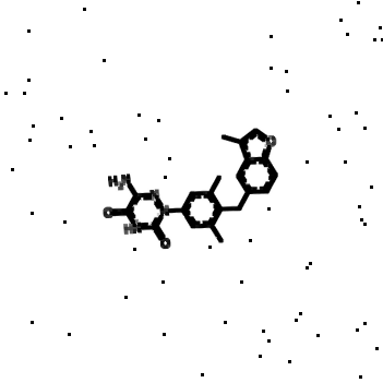 Cc1cc(-n2nc(N)c(=O)[nH]c2=O)cc(C)c1Cc1ccc2occ(C)c2c1